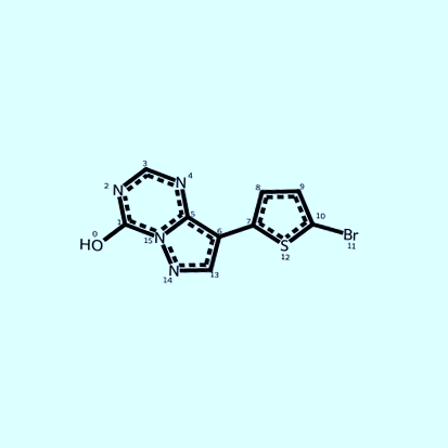 Oc1ncnc2c(-c3ccc(Br)s3)cnn12